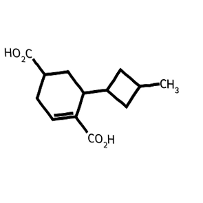 CC1CC(C2CC(C(=O)O)CC=C2C(=O)O)C1